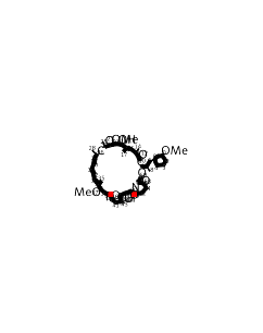 CO[C@H]1CCC[C@@H](C[C@@H](C)[C@@H]2CC(=O)[C@H](C)/C=C(\C)[C@@H](O)[C@@H](OC)C(=O)[C@H](C)C[C@H](C)/C=C/C=C/C=C(\C)[C@@H](OC)C[C@@H]3CC[C@@H](C)[C@@](O)(O3)C(=O)C(=O)N3CCCCC3C(=O)O2)C1